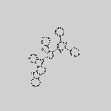 c1ccc(-c2nc(-c3ccccc3)nc(-c3ccc(-n4c5ccccc5c5c6oc7ccccc7c6ccc54)c4oc5ccccc5c34)n2)cc1